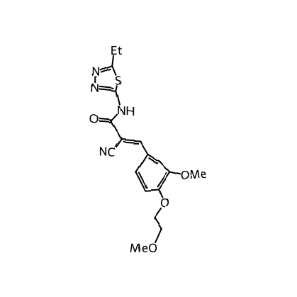 CCc1nnc(NC(=O)/C(C#N)=C/c2ccc(OCCOC)c(OC)c2)s1